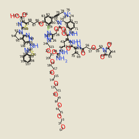 COCCOCCOCCOCCOCCOCCOCCOCCn1cc(COC(=O)N(C)Cc2cc(NC(=O)[C@H](CCCNC(N)=O)NC(=O)[C@@H](NC(=O)CCOCCN3C(=O)C=CC3=O)C(C)C)ccc2C[N+](C)(C)CC#Cc2ccc(OCCCc3sc(N4CCCc5c4nnc(Nc4nc6ccccc6s4)c5C)nc3C(=O)O)c(F)c2)nn1